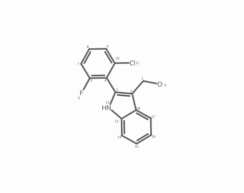 [O]Cc1c(-c2c(F)cccc2Cl)[nH]c2ccccc12